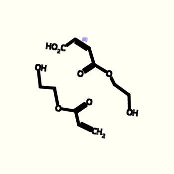 C=CC(=O)OCCO.O=C(O)/C=C\C(=O)OCCO